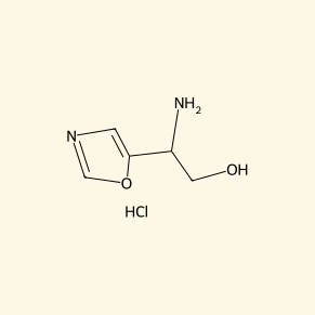 Cl.NC(CO)c1cnco1